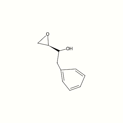 OC(Cc1ccccc1)[C@H]1CO1